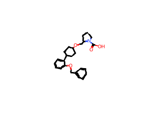 O=C(O)N1CCCC1COC1CCC(c2ccccc2OCc2ccccc2)CC1